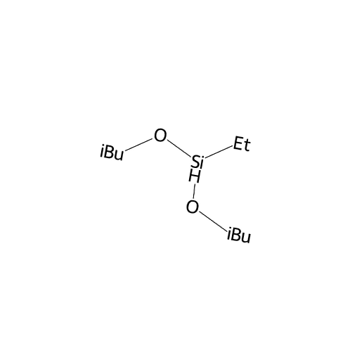 CCC(C)O[SiH](CC)OC(C)CC